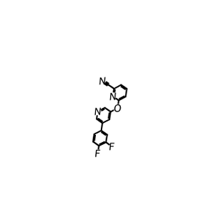 N#Cc1cccc(Oc2cncc(-c3ccc(F)c(F)c3)c2)n1